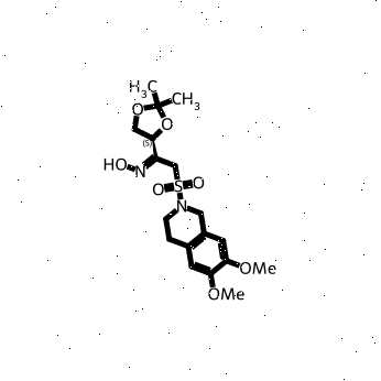 COc1cc2c(cc1OC)CN(S(=O)(=O)CC(=NO)[C@H]1COC(C)(C)O1)CC2